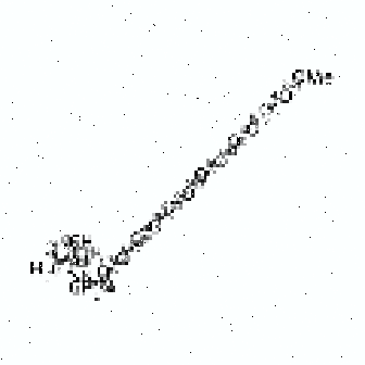 COCCOCCOCCOCCOCCOCCOCCOCCOCCOCCOCCOCCOC(=O)CSC(C)CC(=O)C1C(C)C=CCC1(C)C